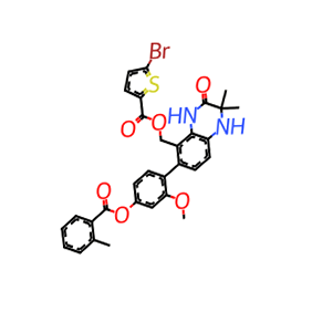 COc1cc(OC(=O)c2ccccc2C)ccc1-c1ccc2c(c1COC(=O)c1ccc(Br)s1)NC(=O)C(C)(C)N2